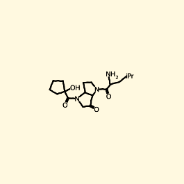 CC(C)CC(N)C(=O)N1CCC2C1C(=O)CN2C(=O)C1(O)CCCC1